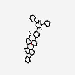 N#Cc1ccc(-c2ccc3c4c(ccc(-c5ccc(-c6ccc(-c7nc(-c8ccccc8)nc(-c8ccccc8)n7)cc6)cc5)c24)-c2ccccc2-3)cc1